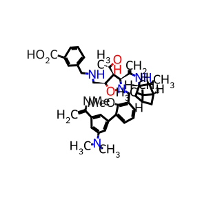 C=C(NC)c1cc(-c2cccc(CN3O[C@@H](CNCc4cccc(C(=O)O)c4)[C@@H]([C@H](C)O)[C@H]3C(=C)N[C@H]3C[C@H]4C[C@@H]([C@@H]3C)C4(C)C)c2OC)cc(N(C)C)c1